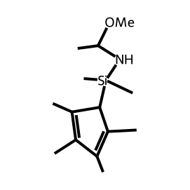 COC(C)N[Si](C)(C)C1C(C)=C(C)C(C)=C1C